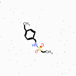 CCc1ccc(CNS(=O)(=O)CC)cc1